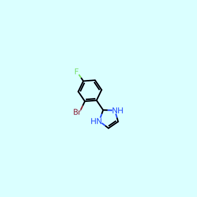 Fc1ccc(C2NC=CN2)c(Br)c1